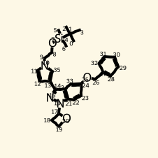 CC(C)(C)[Si](C)(C)OCCn1ccc(-c2nn(C3CCO3)c3ccc(OCc4ccccc4)cc23)c1